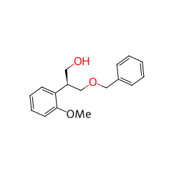 COc1ccccc1[C@@H](CO)COCc1ccccc1